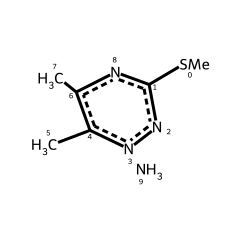 CSc1nnc(C)c(C)n1.N